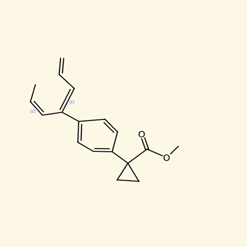 C=C/C=C(\C=C/C)c1ccc(C2(C(=O)OC)CC2)cc1